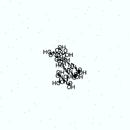 O=C(O)CN(CCN(CC(=O)O)CC(=O)O)CC(=O)O.O=C(O)CN(CCN(CC(=O)O)CC(=O)O[C@H](CO)[C@H](S)CS)CC(=O)O.O=S(=O)(O)CCN1CCN(CCO)CC1.O=S(=O)(O)CCN1CCN(CCO)CC1